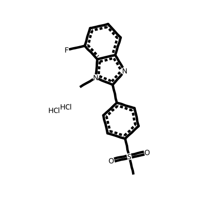 Cl.Cl.Cn1c(-c2ccc(S(C)(=O)=O)cc2)nc2cccc(F)c21